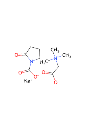 C[N+](C)(C)CC(=O)[O-].O=C([O-])N1CCCC1=O.[Na+]